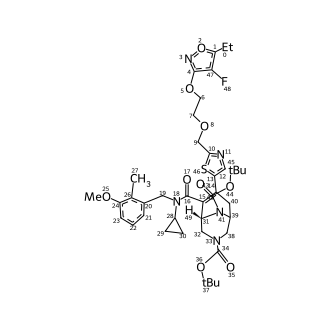 CCc1onc(OCCOCc2ncc(C3=C(C(=O)N(Cc4cccc(OC)c4C)C4CC4)[C@H]4CN(C(=O)OC(C)(C)C)CC(C3)N4C(=O)OC(C)(C)C)s2)c1F